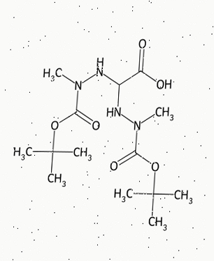 CN(NC(NN(C)C(=O)OC(C)(C)C)C(=O)O)C(=O)OC(C)(C)C